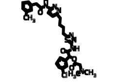 Cc1cccc(CC(=O)Nc2ccc(CCCCc3nnc(NC(=O)C(OC(=O)CN(C)C)c4cccc(Cl)c4)s3)nn2)c1